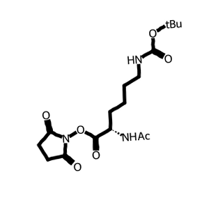 CC(=O)N[C@@H](CCCCNC(=O)OC(C)(C)C)C(=O)ON1C(=O)CCC1=O